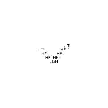 F.F.F.F.F.F.[LiH].[Ti]